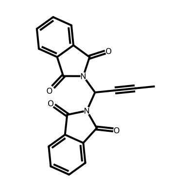 CC#CC(N1C(=O)c2ccccc2C1=O)N1C(=O)c2ccccc2C1=O